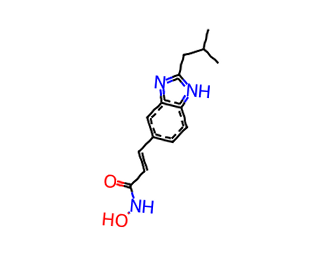 CC(C)Cc1nc2cc(/C=C/C(=O)NO)ccc2[nH]1